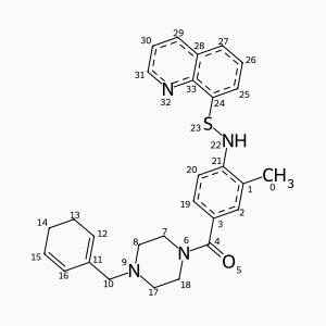 Cc1cc(C(=O)N2CCN(CC3=CCCC=C3)CC2)ccc1NSc1cccc2cccnc12